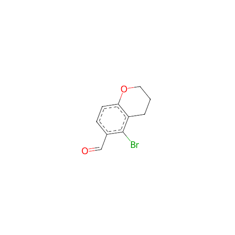 O=Cc1ccc2c(c1Br)CCCO2